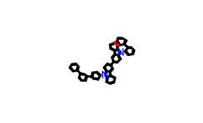 c1ccc(-c2cccc(-c3ccc(-n4c5ccccc5c5cc(-c6ccc7c(c6)c6ccccc6n7-c6ccccc6-c6ccccc6)ccc54)cc3)c2)cc1